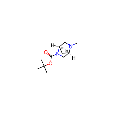 CN1C[C@H]2C[C@@H]1CN2C(=O)OC(C)(C)C